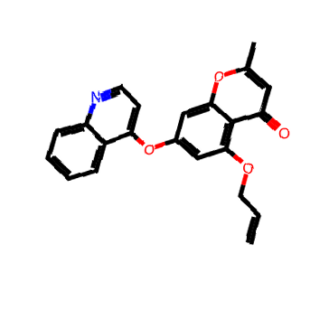 C=CCOc1cc(Oc2ccnc3ccccc23)cc2oc(C)cc(=O)c12